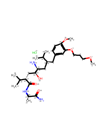 COCCCOc1cc(C[C@@H](C[C@H](N)[C@@H](O)C[C@H](C(=O)N[C@@H](C)C(N)=O)C(C)C)C(C)C)ccc1OC.Cl